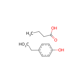 CCCC(=O)O.O=C(O)Cc1ccc(O)cc1